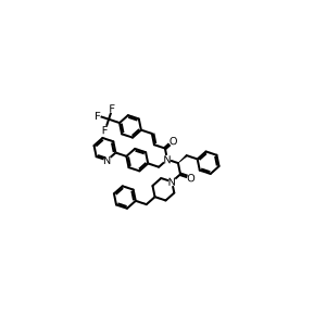 O=C([C@H](Cc1ccccc1)N(Cc1ccc(-c2ccccn2)cc1)C(=O)/C=C/c1ccc(C(F)(F)F)cc1)N1CCC(Cc2ccccc2)CC1